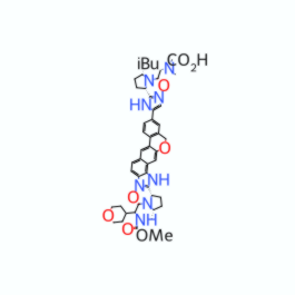 CC[C@H](C)[C@@H](C(=O)N1[C@@H](C)CC[C@H]1c1ncc(-c2ccc3c(c2)COc2cc4c(ccc5nc([C@@H]6CC[C@H](C)N6C(=O)[C@@H](NC(=O)OC)C6CCOCC6)[nH]c54)cc2-3)[nH]1)N(C)C(=O)O